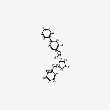 [c]1ccccc1-c1ccc(OC[C@@H]2CCCN2Cc2ccccc2)cc1